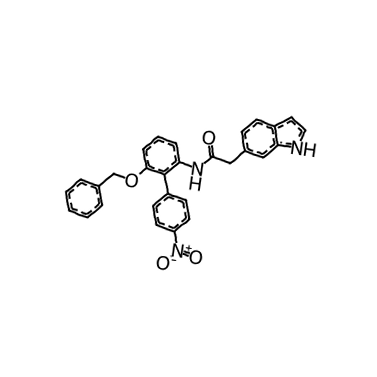 O=C(Cc1ccc2cc[nH]c2c1)Nc1cccc(OCc2ccccc2)c1-c1ccc([N+](=O)[O-])cc1